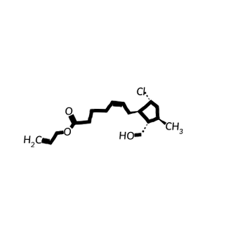 C=CCOC(=O)CCC/C=C\C[C@@H]1[C@@H](CO)[C@H](C)C[C@H]1Cl